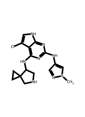 Cn1cc(Nc2nc(NC3CNCC34CC4)c3c(Cl)c[nH]c3n2)cn1